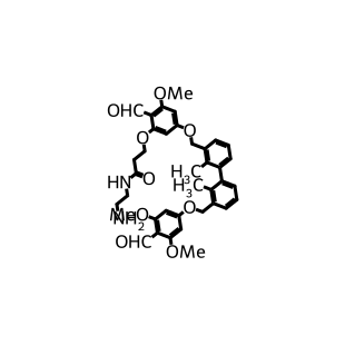 COc1cc(OCc2cccc(-c3cccc(COc4cc(OC)c(C=O)c(OCCC(=O)NCCN)c4)c3C)c2C)cc(OC)c1C=O